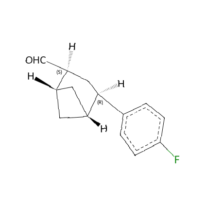 O=C[C@H]1C[C@@H](c2ccc(F)cc2)[C@H]2C[C@@H]1C2